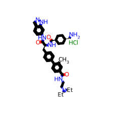 CCN(CC)CCNC(=O)c1ccc(-c2ccc(C[C@H](NC(=O)[C@H]3CC[C@H](CN)CC3)C(=O)Nc3ccc4cn[nH]c4c3)cc2)c(C)c1.Cl